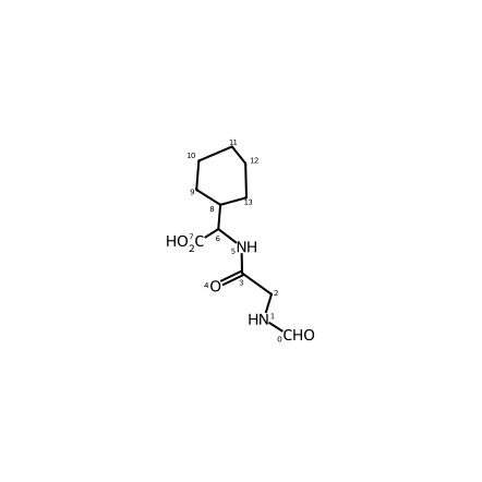 O=CNCC(=O)NC(C(=O)O)C1CCCCC1